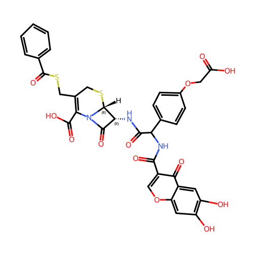 O=C(O)COc1ccc(C(NC(=O)c2coc3cc(O)c(O)cc3c2=O)C(=O)N[C@@H]2C(=O)N3C(C(=O)O)=C(CSC(=O)c4ccccc4)CS[C@H]23)cc1